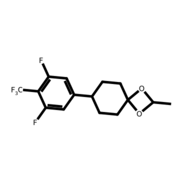 CC1OC2(CCC(c3cc(F)c(C(F)(F)F)c(F)c3)CC2)O1